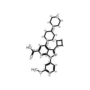 COc1cc(-n2nc(C3CCC3)c3c(N4CCC(N5CCOCC5)CC4)cc(C(=O)O)nc32)ccn1